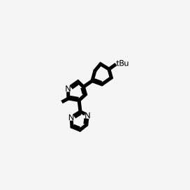 Cc1ncc(C2=CCC(C(C)(C)C)CC2)cc1-c1ncccn1